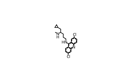 CNC(CCCNc1c2ccc(Cl)cc2nc2ccc(Cl)cc12)CC1CC1